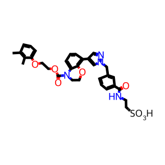 Cc1cccc(OCCOC(=O)N2CCOc3c(-c4cnn(Cc5cccc(C(=O)NCCS(=O)(=O)O)c5)c4)cccc32)c1C